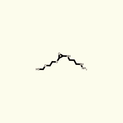 NBCCCNC1OC1OCCOCS